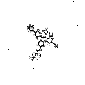 CC(C)(C)OC(=O)/C=C/c1ccc(/C(=C(\c2ccc(C#N)cc2Cl)C2CCC2)c2ccc(-c3cncs3)cc2)cc1